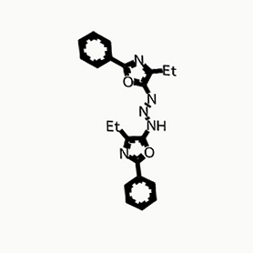 CCc1nc(-c2ccccc2)oc1N=NNc1oc(-c2ccccc2)nc1CC